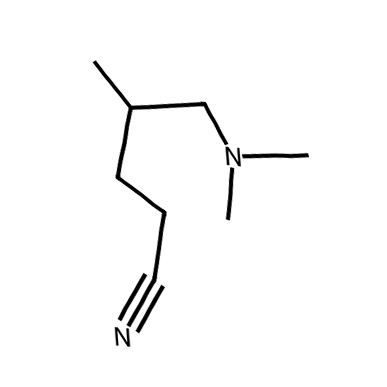 CC(CCC#N)CN(C)C